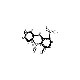 O=[N+]([O-])c1ccc(Cl)c2c1Cc1cnccc1[S+]2[O-]